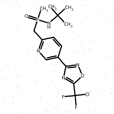 CC(C)(C)NP(C)(=O)Cc1ccc(-c2noc(C(F)(F)Cl)n2)cn1